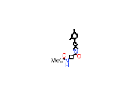 COC(=O)NC1CC(C(=O)N2CC3(CC(c4ccc(C)cc4C)C3)C2)C1